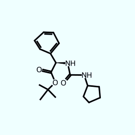 CC(C)(C)OC(=O)[C@H](NC(=O)NC1CCCC1)c1ccccc1